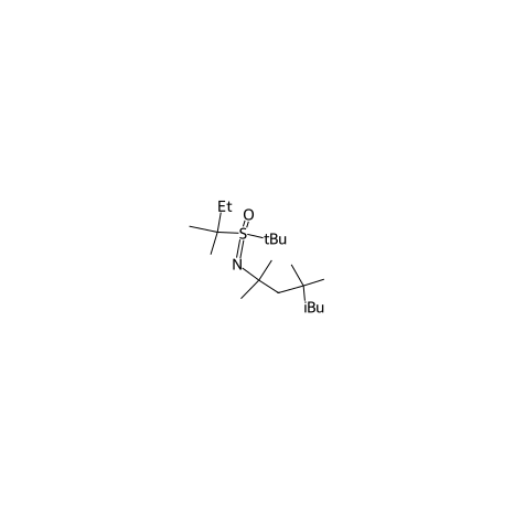 CCC(C)C(C)(C)CC(C)(C)N=S(=O)(C(C)(C)C)C(C)(C)CC